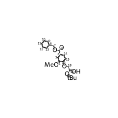 COc1cc(C(=O)OCc2ccccc2)ccc1OCC(O)OC(C)(C)C